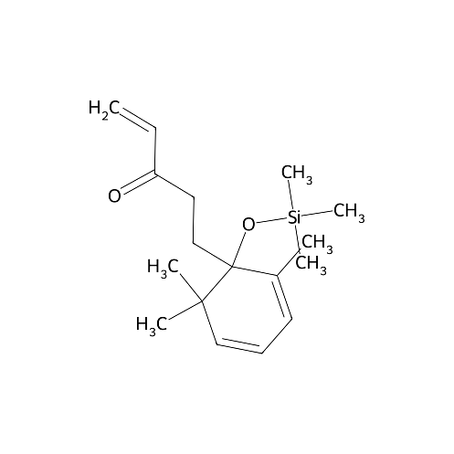 C=CC(=O)CCC1(O[Si](C)(C)C)C(C)=CC=CC1(C)C